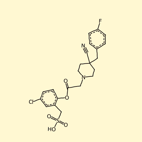 N#CC1(Cc2ccc(F)cc2)CCN(CC(=O)Oc2ccc(Cl)cc2CS(=O)(=O)O)CC1